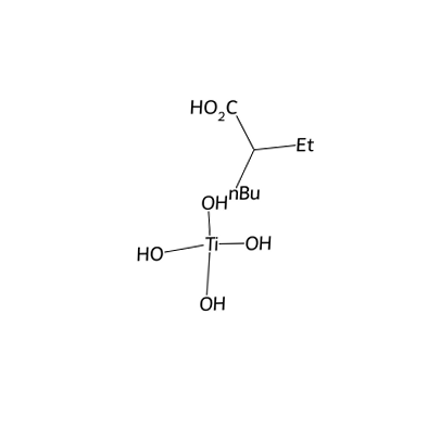 CCCCC(CC)C(=O)O.[OH][Ti]([OH])([OH])[OH]